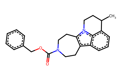 CC1CCn2c3c(c4cccc1c42)CCN(C(=O)OCc1ccccc1)CC3